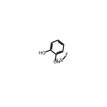 F[SiH3].Oc1ccccc1O